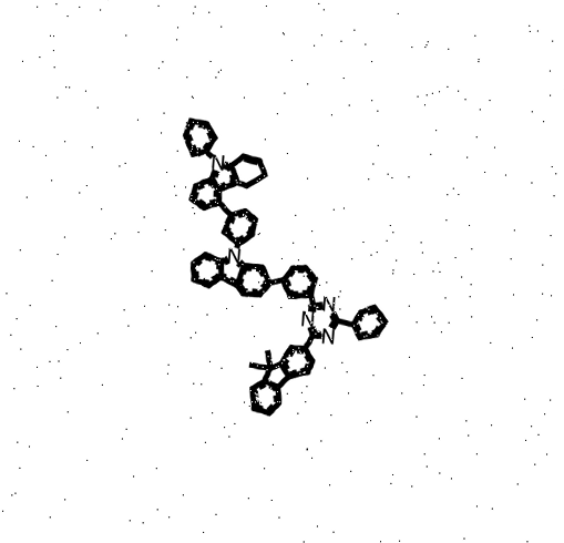 CC1(C)c2ccccc2-c2ccc(-c3nc(-c4ccccc4)nc(-c4cccc(-c5ccc6c7ccccc7n(-c7cccc(-c8cccc9c8c8c(n9-c9ccccc9)C=CCC8)c7)c6c5)c4)n3)cc21